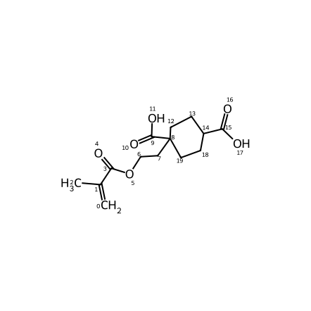 C=C(C)C(=O)OCCC1(C(=O)O)CCC(C(=O)O)CC1